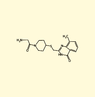 Cc1cccc2c(=O)[nH]c(CSC3CCN(C(=O)CN)CC3)nc12